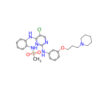 CS(=O)(=O)Nc1ccccc1Nc1nc(Nc2cccc(OCCCN3CCCCC3)c2)ncc1Cl